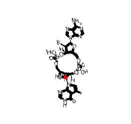 Nc1ncnc2c1ncn2[C@@H]1OC2COP(=O)(O)O[C@@H]3[C@H](O)[C@@H](COP(=O)(O)O[C@H]2[C@H]1F)O[C@H]3n1cc(F)c2c(=O)[nH]cnc21